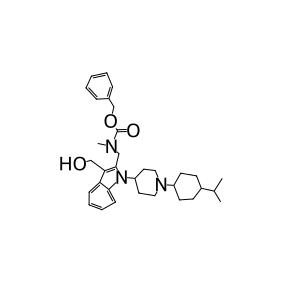 CC(C)C1CCC(N2CCC(n3c(CN(C)C(=O)OCc4ccccc4)c(CO)c4ccccc43)CC2)CC1